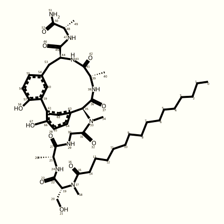 CCCCCCCCCCCCCCCC(=O)N(C)[C@H](CO)C(=O)N[C@H](C)C(=O)NCC(=O)N(C)[C@@H]1C(=O)N[C@@H](C)C(=O)N[C@H](C(=O)N[C@@H](C)C(N)=O)Cc2ccc(O)c(c2)-c2cc1ccc2O